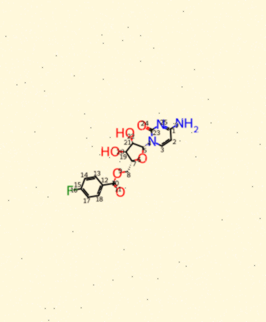 Nc1ccn([C@@H]2O[C@H](COC(=O)c3ccc(F)cc3)[C@@H](O)[C@H]2O)c(=O)n1